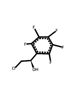 O[C@@H](CCl)c1c(F)c(F)c(F)c(F)c1F